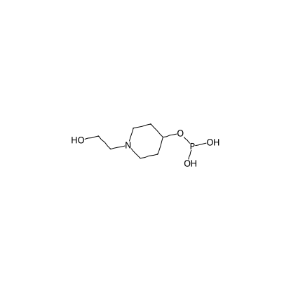 OCCN1CCC(OP(O)O)CC1